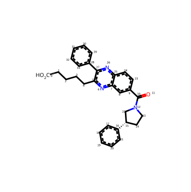 O=C(O)CCCCc1nc2cc(C(=O)N3CC[C@H](c4ccccc4)C3)ccc2nc1-c1ccccc1